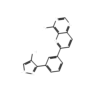 Cc1c[nH]nc1-c1cccc(-c2ccc3ncnc(N)c3n2)c1